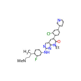 CCn1c(=O)c(-c2ccc(-c3cccnc3)cc2Cl)cc2cnc(Nc3ccc(C(C)CCNC)c(F)c3)nc21